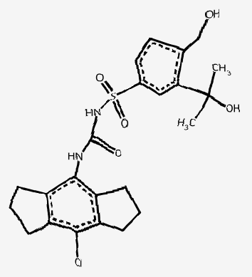 CC(C)(O)c1cc(S(=O)(=O)NC(=O)Nc2c3c(c(Cl)c4c2CCC4)CCC3)ccc1CO